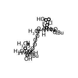 Cc1ncsc1-c1ccc([C@H](C)NC(=O)[C@@H]2C[C@@H](O)CN2C(=O)[C@@H](NC(=O)COCCOCCOCCOCCN(C)C(=O)CCNc2nc(N3CCN(C(=O)OC(C)(C)C)CC3)c3cc(Cl)c(-c4cc(O)cc5ccccc45)c(F)c3n2)C(C)(C)C)cc1